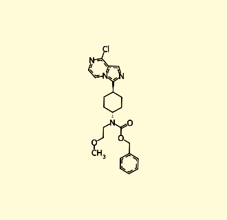 COCCN(C(=O)OCc1ccccc1)[C@H]1CC[C@H](c2ncc3c(Cl)nccn32)CC1